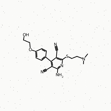 CN(C)CCSc1nc(N)c(C#N)c(-c2ccc(OCCO)cc2)c1C#N